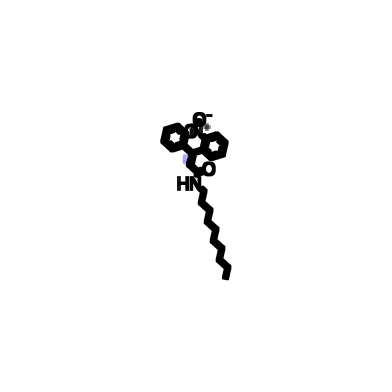 CCCCCCCCCCNC(=O)/C=C(/c1ccccc1)c1ccccc1[N+](=O)[O-]